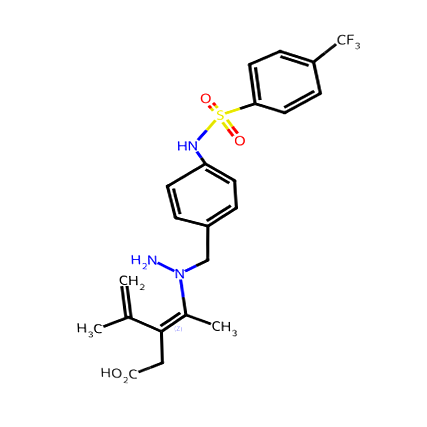 C=C(C)/C(CC(=O)O)=C(/C)N(N)Cc1ccc(NS(=O)(=O)c2ccc(C(F)(F)F)cc2)cc1